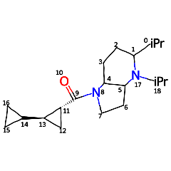 CC(C)C1CCC2C(CCN2C(=O)[C@@H]2C[C@H]2C2CC2)N1C(C)C